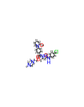 CN1CCN(CCOCC(CC(=O)Nc2ccc(Cl)cc2)NC(=O)c2ccc(-n3ccccc3=O)cc2)CC1